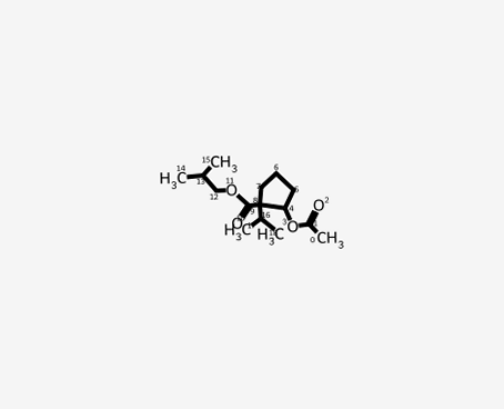 CC(=O)OC1CCCC1(C(=O)OCC(C)C)C(C)C